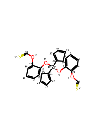 S=COc1ccccc1[O][Zr]([O]c1ccccc1OC=S)([C]1=CC=CC1)[C]1=CC=CC1